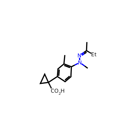 CC/C(C)=N\N(C)c1ccc(C2(C(=O)O)CC2)cc1C